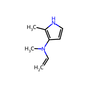 C=CN(C)c1cc[nH]c1C